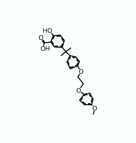 COc1ccc(OCCOc2ccc(C(C)(C)c3ccc(O)c(C(=O)O)c3)cc2)cc1